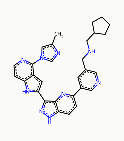 Cc1cn(-c2nccc3[nH]c(-c4n[nH]c5ccc(-c6cncc(CNCC7CCCC7)c6)nc45)cc23)cn1